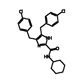 O=C(NC1CCCCC1)c1nc(Cc2ccc(Cl)cc2)c(Cc2ccc(Cl)cc2)[nH]1